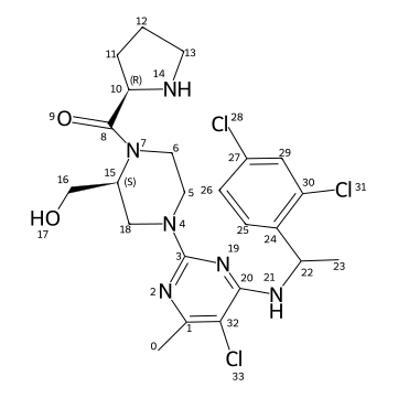 Cc1nc(N2CCN(C(=O)[C@H]3CCCN3)[C@H](CO)C2)nc(NC(C)c2ccc(Cl)cc2Cl)c1Cl